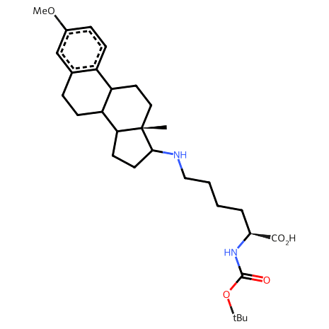 COc1ccc2c(c1)CCC1C2CC[C@]2(C)C(NCCCC[C@H](NC(=O)OC(C)(C)C)C(=O)O)CCC12